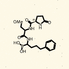 COCC(NC(=O)[C@H]1CCC(=O)N1)C(=O)NC(CCCc1ccccc1)B(O)O